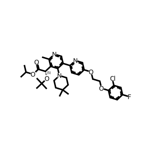 Cc1ncc(-c2ccc(OCCOc3ccc(F)cc3Cl)cn2)c(N2CCC(C)(C)CC2)c1[C@H](OC(C)(C)C)C(=O)OC(C)C